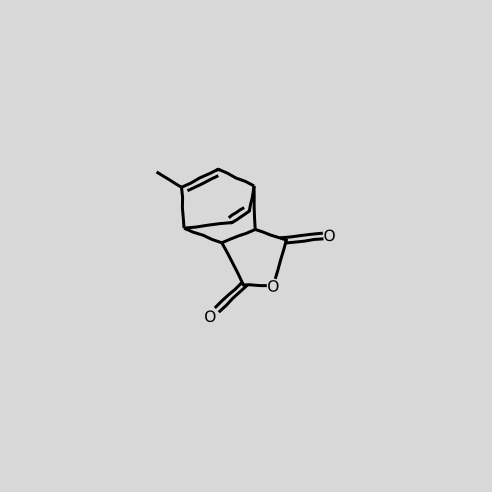 CC1=CC2C=CC1C1C(=O)OC(=O)C21